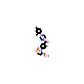 Cc1ccc(N2CCN(C(=O)c3c(F)cc(N4[C@H](CO)CCS4(=O)=O)cc3F)CC2)c(C)c1